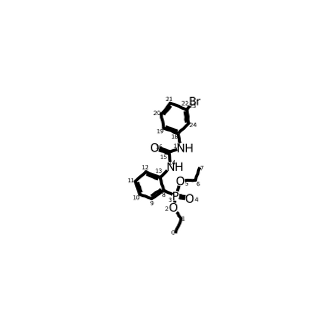 CCOP(=O)(OCC)c1ccccc1NC(=O)Nc1cccc(Br)c1